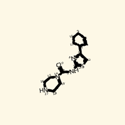 O=C(Nc1nc(C2C=CCCC2)cs1)N1CCNCC1